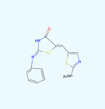 CC(=O)Nc1ncc(C=C2SC(=Nc3ccccc3)NC2=O)s1